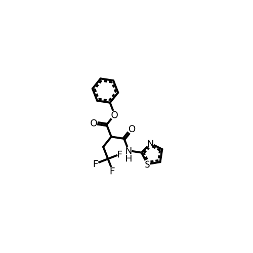 O=C(Nc1nccs1)C(CC(F)(F)F)C(=O)Oc1ccccc1